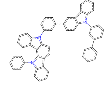 c1ccc(-c2cccc(-n3c4ccccc4c4cc(-c5cccc(-n6c7ccccc7c7c6ccc6c8ccccc8n(-c8ccccc8)c67)c5)ccc43)c2)cc1